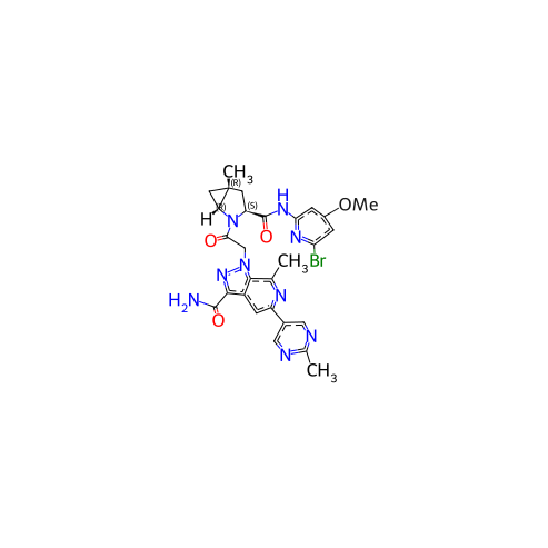 COc1cc(Br)nc(NC(=O)[C@@H]2C[C@@]3(C)C[C@H]3N2C(=O)Cn2nc(C(N)=O)c3cc(-c4cnc(C)nc4)nc(C)c32)c1